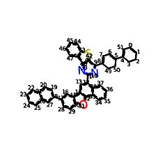 C1=CCCC(C2=CC=C(c3nc(-c4cc5c6cc(-c7ccc8ccccc8c7)ccc6oc5c5ccccc45)nc4c3sc3ccccc34)CC2)=C1